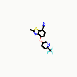 Cc1nc2c(Oc3ccc(C(F)(F)F)nc3)ccc(C#N)c2s1